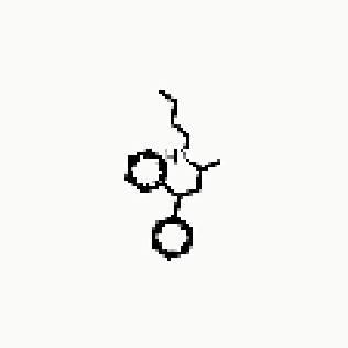 CCCCNC(C)CC(c1ccccc1)c1ccccc1